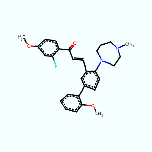 COc1ccc(C(=O)C=Cc2cc(-c3ccccc3OC)ccc2N2CCCN(C)CC2)c(F)c1